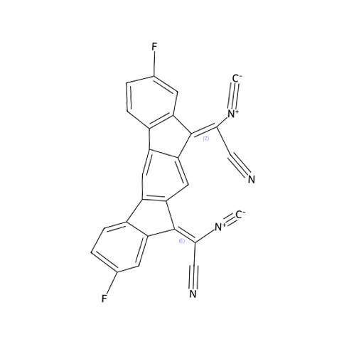 [C-]#[N+]/C(C#N)=C1\c2cc(F)ccc2-c2cc3c(cc21)/C(=C(/C#N)[N+]#[C-])c1cc(F)ccc1-3